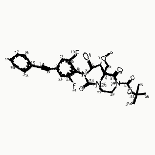 COCC12CC(=O)N(c3c(F)cc(C#Cc4ccccc4)cc3F)C(=O)N1CCN(C(=O)OC(C)(C)C)C2=O